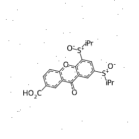 CC(C)[S+]([O-])c1cc([S+]([O-])C(C)C)c2oc3ccc(C(=O)O)cc3c(=O)c2c1